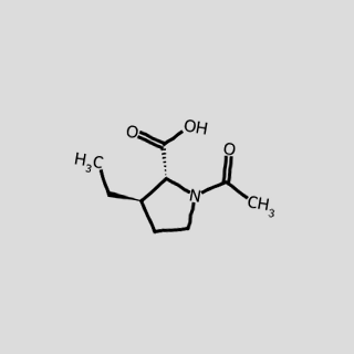 CC[C@@H]1CCN(C(C)=O)[C@H]1C(=O)O